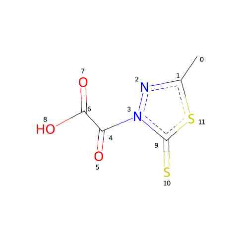 Cc1nn(C(=O)C(=O)O)c(=S)s1